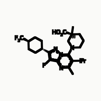 Cc1nc2c(F)c([C@H]3CC[C@H](C(F)(F)F)CC3)nn2c(N2CCC[C@](C)(C(=O)O)C2)c1C(C)C